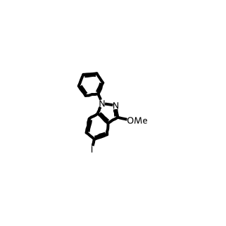 COc1nn(-c2ccccc2)c2ccc(I)cc12